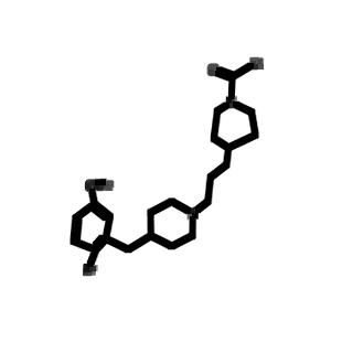 CCC(=O)N1CCC(CCCN2CCC(Cc3cc(OC)ccc3Br)CC2)CC1